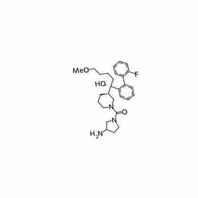 COCCCC[C@@](O)(c1ccccc1-c1ccccc1F)[C@@H]1CCCN(C(=O)N2CCC(N)C2)C1